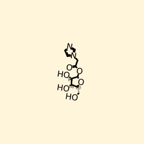 O=C(Cn1ccnc1)OC1O[C@H](CO)[C@@H](O)[C@H]1O